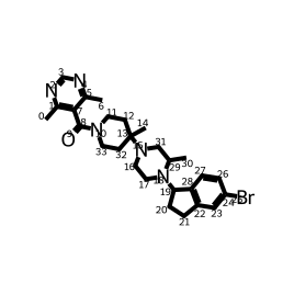 Cc1ncnc(C)c1C(=O)N1CCC(C)(N2CCN(C3CCc4cc(Br)ccc43)C(C)C2)CC1